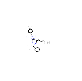 C=C(C1CCCCC1)N1Cc2[nH]c(-c3ccc(C)cc3)nc2C(CCCC)C1